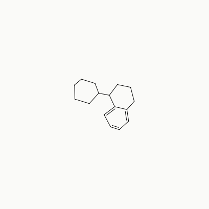 c1ccc2c(c1)CCCC2C1CCCCC1